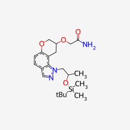 CC(Cn1ncc2ccc3c(c21)CC(OCC(N)=O)CO3)O[Si](C)(C)C(C)(C)C